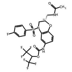 CC(=O)NC[C@H]1CN(S(=O)(=O)c2ccc(F)cc2)c2cc(NC(=O)OC(C(F)(F)F)C(F)(F)F)ccc2O1